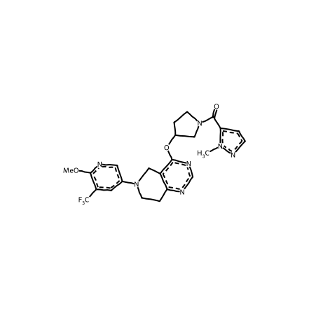 COc1ncc(N2CCc3ncnc(OC4CCN(C(=O)c5ccnn5C)C4)c3C2)cc1C(F)(F)F